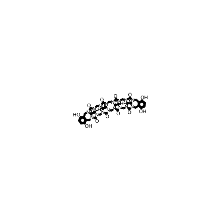 C[C@]12N3Cc4c(O)ccc(O)c4CN1C(=O)N1CN4C(=O)N5CN6C(=O)N7CN8C(=O)N9Cc%10c(O)ccc(O)c%10CN%10C(=O)N(CN%11C(=O)N(CN%12C(=O)N(CN(C3=O)[C@]12C)[C@@H]4[C@H]%125)[C@@H]6[C@H]%117)[C@]8(C)[C@@]9%10C